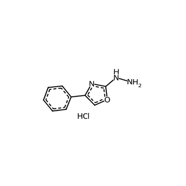 Cl.NNc1nc(-c2ccccc2)co1